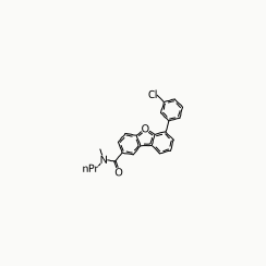 [CH2]CCN(C)C(=O)c1ccc2oc3c(-c4cccc(Cl)c4)cccc3c2c1